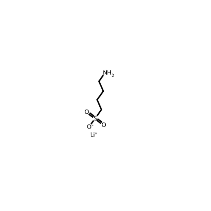 NCCCCS(=O)(=O)[O-].[Li+]